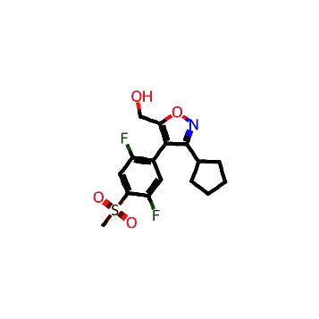 CS(=O)(=O)c1cc(F)c(-c2c(C3CCCC3)noc2CO)cc1F